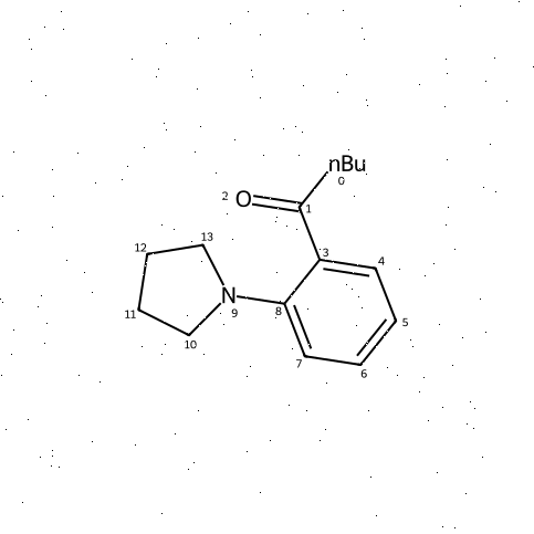 CCCCC(=O)c1ccccc1N1CCCC1